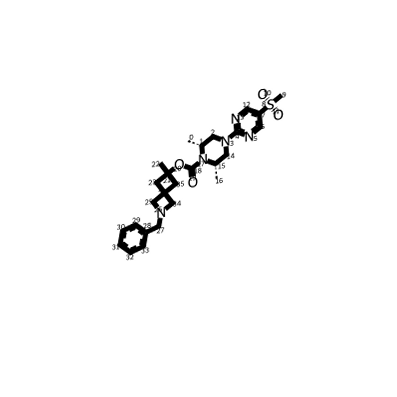 C[C@@H]1CN(c2ncc(S(C)(=O)=O)cn2)C[C@H](C)N1C(=O)OC1(C)CC2(CN(Cc3ccccc3)C2)C1